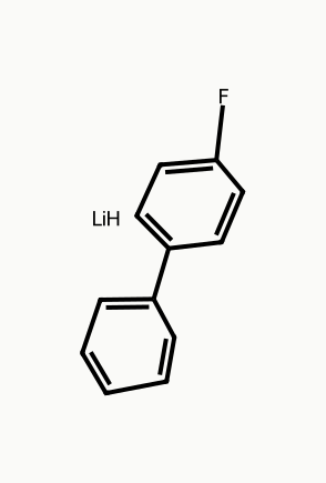 Fc1ccc(-c2ccccc2)cc1.[LiH]